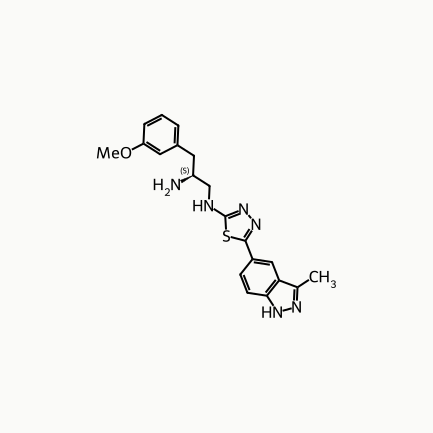 COc1cccc(C[C@H](N)CNc2nnc(-c3ccc4[nH]nc(C)c4c3)s2)c1